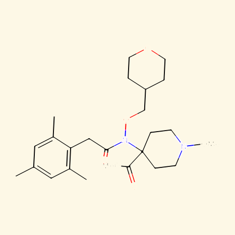 COC(=O)C1(N(OCC2CCOCC2)C(=O)Cc2c(C)cc(C)cc2C)CCN(OC)CC1